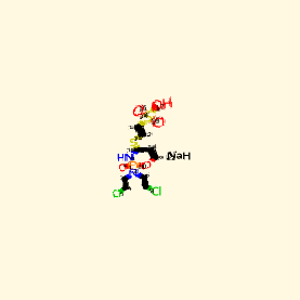 O=P1(N(CCCl)CCCl)NC(SCCS(=O)(=O)O)CCO1.[NaH]